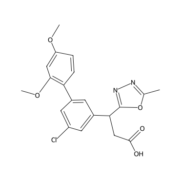 COc1ccc(-c2cc(Cl)cc(C(CC(=O)O)c3nnc(C)o3)c2)c(OC)c1